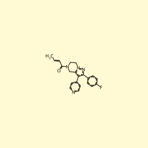 CC=CC(=O)N1CCn2nc(-c3ccc(F)cc3)c(-c3ccncc3)c2C1